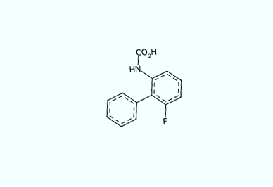 O=C(O)Nc1cccc(F)c1-c1ccccc1